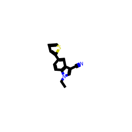 CCn1cc(C#N)c2cc(-c3cccs3)ccc21